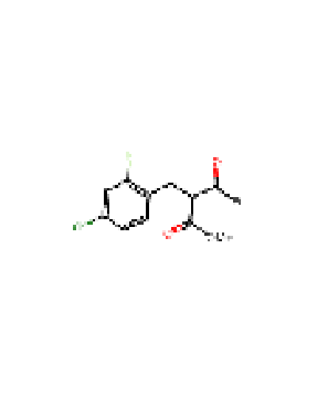 CCC(=O)C(Cc1ccc(Cl)cc1F)C(=O)OC